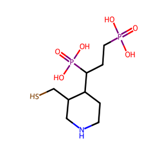 O=P(O)(O)CCC(C1CCNCC1CS)P(=O)(O)O